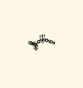 C[C@@H]1CC[C@H](C)N1c1nc(-c2ccc(NC(=O)Nc3ccc(N4CCC(N(C)C)CC4)cc3)cc2)nc(N2C3CCC2COC3)n1